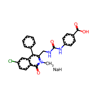 Cn1c(CNC(=O)Nc2ccc(C(=O)O)cc2)c(-c2ccccc2)c2cc(Cl)ccc2c1=O.[NaH]